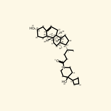 CC(CCC(=O)N1CCC(O)(C2CCC2)CC1)[C@H]1CC[C@H]2[C@@H]3CC=C4C[C@@H](O)CC[C@]4(C)[C@H]3CC[C@]12C